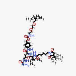 CC(C)C(NC(=O)CCCCCN1C(=O)CC(C(C)(C)C)C1=O)C(=O)N[C@H](CCCNC(N)=O)C(=O)Nc1ccc(COC(=O)NCCOCCOCCC(C)(C)C)cc1